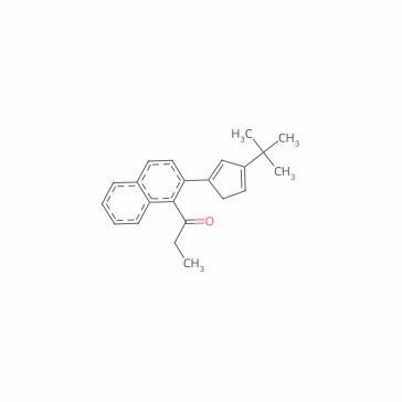 CCC(=O)c1c(C2=CC(C(C)(C)C)=CC2)ccc2ccccc12